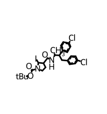 CC(NC(=O)C1CCN(C(=O)OC(C)(C)C)C1I)C(Cc1ccc(Cl)cc1)c1ccc(Cl)cc1